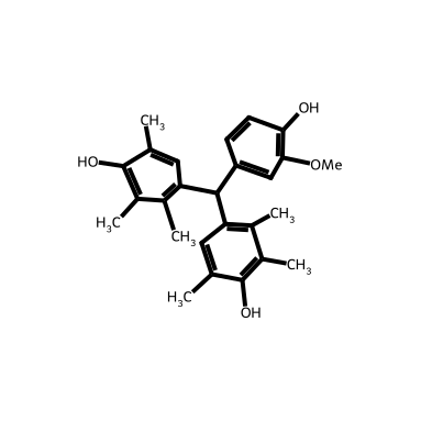 COc1cc(C(c2cc(C)c(O)c(C)c2C)c2cc(C)c(O)c(C)c2C)ccc1O